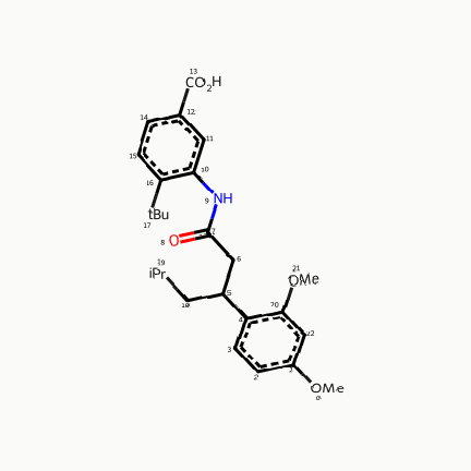 COc1ccc(C(CC(=O)Nc2cc(C(=O)O)ccc2C(C)(C)C)CC(C)C)c(OC)c1